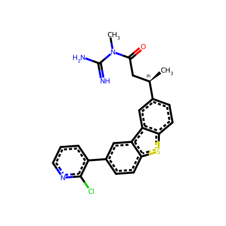 C[C@H](CC(=O)N(C)C(=N)N)c1ccc2sc3ccc(-c4cccnc4Cl)cc3c2c1